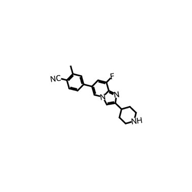 Cc1cc(-c2cc(F)c3nc(C4CCNCC4)cn3c2)ccc1C#N